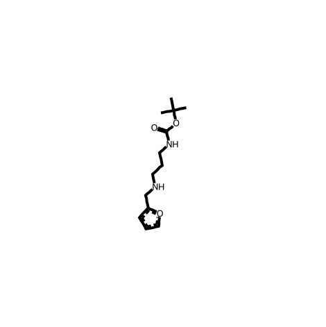 CC(C)(C)OC(=O)NCCCNCc1ccco1